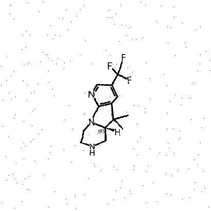 CC1(C)c2cc(C(F)(F)F)cnc2N2CCNC[C@H]21